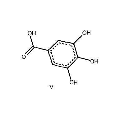 O=C(O)c1cc(O)c(O)c(O)c1.[V]